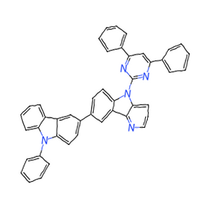 c1ccc(-c2cc(-c3ccccc3)nc(-n3c4ccc(-c5ccc6c(c5)c5ccccc5n6-c5ccccc5)cc4c4ncccc43)n2)cc1